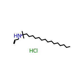 C=CCNC(C)(C)CCCCCCCCCCCCCCC.Cl